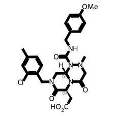 COc1ccc(CNC(=O)N2[C@H]3CN(Cc4ccc(C)cc4Cl)C(=O)[C@H](CC(=O)O)N3C(=O)CN2C)cc1